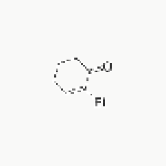 CCC1=CCCCC1=O